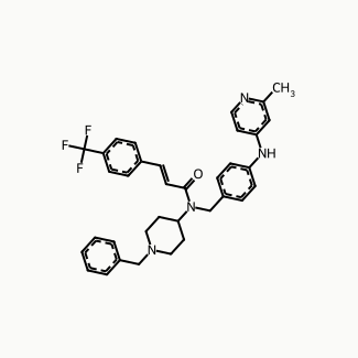 Cc1cc(Nc2ccc(CN(C(=O)C=Cc3ccc(C(F)(F)F)cc3)C3CCN(Cc4ccccc4)CC3)cc2)ccn1